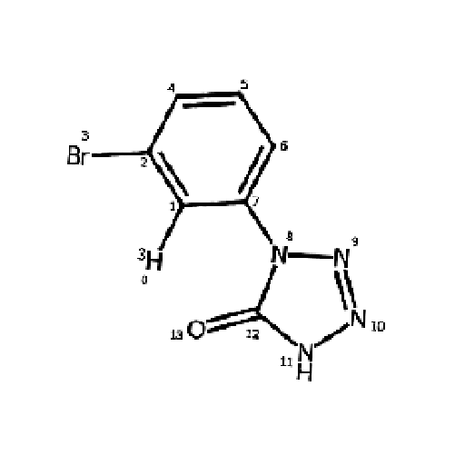 [3H]c1c(Br)cccc1-n1nn[nH]c1=O